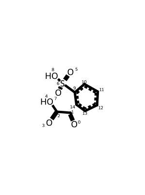 O=CC(=O)O.O=S(=O)(O)c1ccccc1